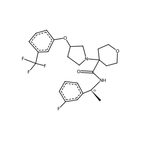 C[C@H](NC(=O)C1(N2CCC(Oc3cccc(C(F)(F)F)c3)C2)CCOCC1)c1cccc(F)c1